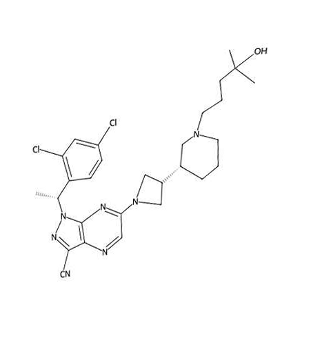 C[C@H](c1ccc(Cl)cc1Cl)n1nc(C#N)c2ncc(N3CC([C@H]4CCCN(CCCC(C)(C)O)C4)C3)nc21